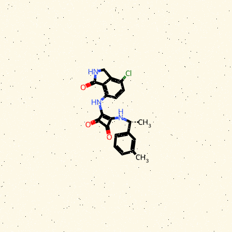 Cc1cccc([C@@H](C)Nc2c(Nc3ccc(Cl)c4c3C(=O)NC4)c(=O)c2=O)c1